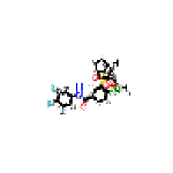 CC[C@]1(O)CC2CC[C@@H](C1)[C@H]2S(=O)(=O)c1cc(C(=O)Nc2cc(F)c(F)c(F)c2)ccc1Cl